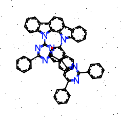 c1ccc(-c2cc(-c3cccc(-n4c5ccccc5c5ccc6c7ccccc7n(-c7nc(-c8ccccc8)nc(-c8ccccc8)n7)c6c54)c3)nc(-c3ccccc3)n2)cc1